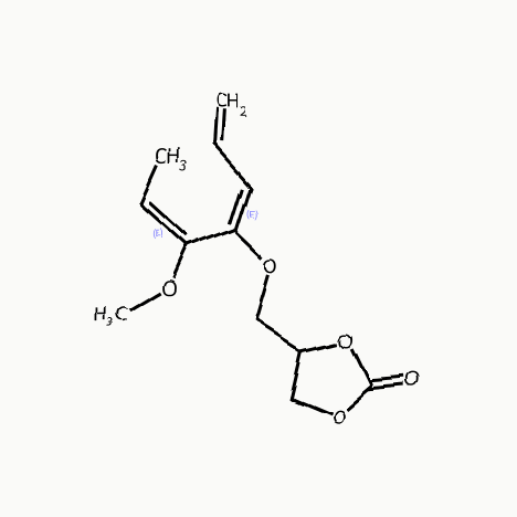 C=C/C=C(OCC1COC(=O)O1)\C(=C/C)OC